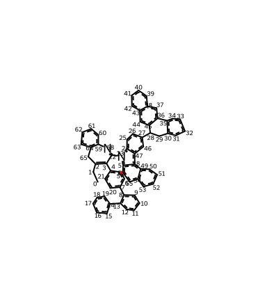 CCC1=C(c2ccc(-c3ccccc3-c3ccccc3)cc2)C(n2c3ccc(C4Cc5ccccc5-c5cc6ccccc6cc54)cc3c3c4ccccc4ccc32)=Nc2ccccc2C1